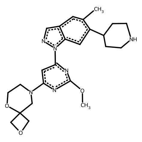 COc1nc(N2CCOC3(COC3)C2)cc(-n2ncc3cc(C)c(C4CCNCC4)cc32)n1